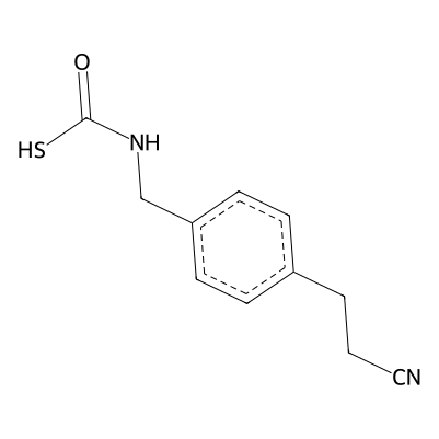 N#CCCc1ccc(CNC(=O)S)cc1